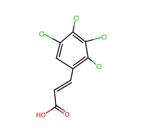 O=C(O)/C=C/c1cc(Cl)c(Cl)c(Cl)c1Cl